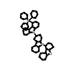 c1ccc([Si](c2ccccc2)(c2ccccc2)c2cccc3c2c2ccccc2n3-c2ccc3c(c2)c2ccccc2n3-c2cccc3oc4ccccc4c23)cc1